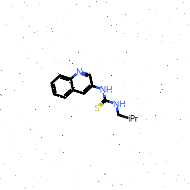 CC(C)CNC(=S)Nc1cnc2ccccc2c1